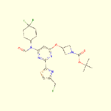 CC(C)(C)OC(=O)N1CC(Oc2cc(N(C=O)C3CCC(F)(F)CC3)nc(-c3nc(CF)cs3)n2)C1